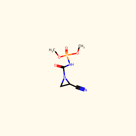 COP(=O)(NC(=O)N1CC1C#N)OC